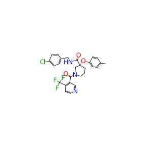 Cc1ccc(OC2(C(=O)NCc3ccc(Cl)cc3)CCCN(C(=O)c3cnccc3C(F)(F)F)C2)cc1